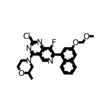 COCOc1cc(-c2ncc3c(N4CCOC(C)C4)nc(Cl)nc3c2F)c2ccccc2c1